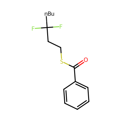 CCCCC(F)(F)CCSC(=O)c1ccccc1